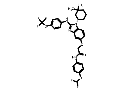 CC1(C)CCC[C@H](n2c(Nc3ccc(OC(F)(F)F)cc3)nc3cc(OCC(=O)Nc4ccc(OC(F)F)cc4)ccc32)C1